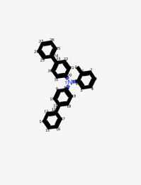 Cc1ccccc1N(c1ccc(-c2ccccc2)cc1)c1ccc(-c2ccccc2)cc1